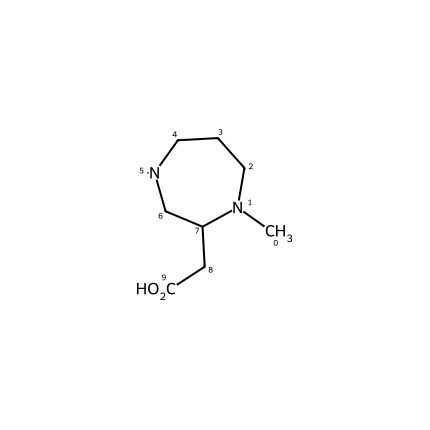 CN1CCC[N]CC1CC(=O)O